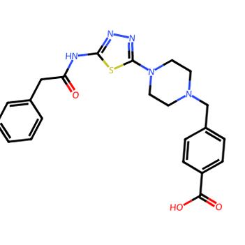 O=C(Cc1ccccc1)Nc1nnc(N2CCN(Cc3ccc(C(=O)O)cc3)CC2)s1